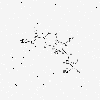 CC(C)(C)OC(=O)N1CCn2c(nc(CO[Si](C)(C)C(C)(C)C)c2F)C1